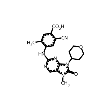 Cc1cc(C(=O)O)c(C#N)cc1Nc1ncc2c(n1)n(C1CCOCC1)c(=O)n2C